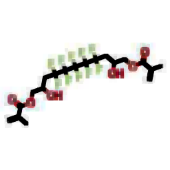 C=C(C)C(=O)OCC(O)CC(F)(F)C(F)(F)C(F)(F)C(F)(F)C(F)(F)CC(O)COC(=O)C(=C)C